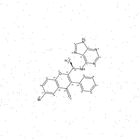 C[C@@H](Nc1ncnc2[nH]cnc12)c1oc2ccc(Br)cc2c(=O)c1-c1ccccc1